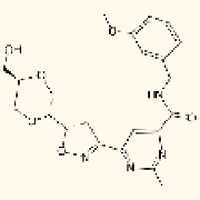 COc1cccc(CNC(=O)c2cc(C3=NO[C@H]([C@H]4CO[C@H](CO)CO4)C3)nc(C)n2)c1